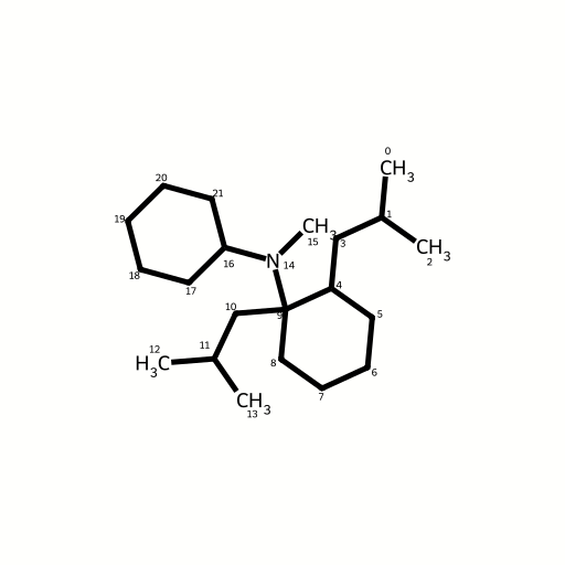 CC(C)CC1CCCCC1(CC(C)C)N(C)C1CCCCC1